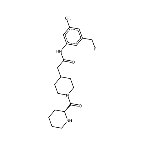 O=C(CC1CCN(C(=O)[C@@H]2CCCCN2)CC1)Nc1cc(CF)cc(C(F)(F)F)c1